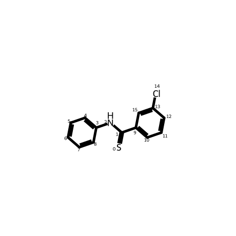 S=C(Nc1ccccc1)c1cccc(Cl)c1